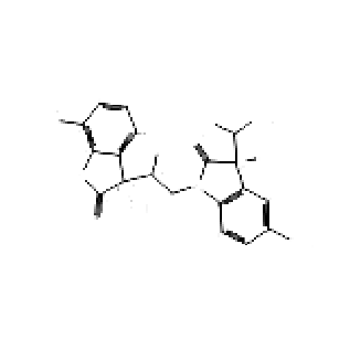 Cc1ccc2c(c1)[C@@](C)(C(C)C)C(=O)N2CC(C)[C@@]1(C)C(=O)Nc2c(C)cccc21